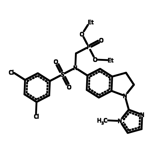 CCOP(=O)(CN(c1ccc2c(c1)CCN2c1nccn1C)S(=O)(=O)c1cc(Cl)cc(Cl)c1)OCC